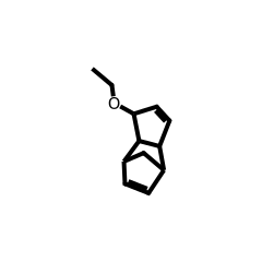 CCOC1C=CC2C3C=CC(C3)C12